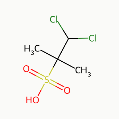 CC(C)(C(Cl)Cl)S(=O)(=O)O